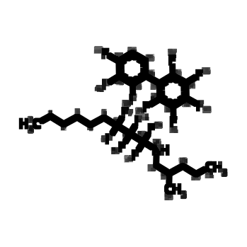 CCCCCCC(F)(F)C(F)(F)C(F)(F)NCC(C)CCC.Fc1ccc(-c2c(F)c(F)c(F)c(F)c2F)c(F)c1F